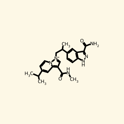 CNC(=O)c1c[n+](CC(C)c2ccc3[nH]nc(C(N)=O)c3c2)n2ccc(C(C)C)cc12